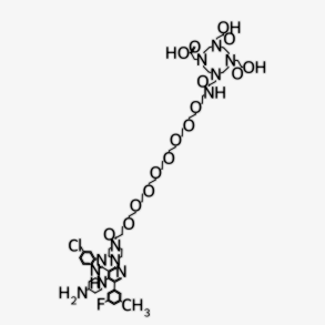 Cc1cc(F)cc(-c2cnc(N3CCN(C(=O)CCOCCOCCOCCOCCOCCOCCOCCOCCNC(=O)CN4CCN(CC(=O)O)CCN(CC(=O)O)CCN(CC(=O)O)CC4)CC3)c(-c3nc4cc(Cl)ccc4[nH]3)c2N2CCC(N)CC2)c1